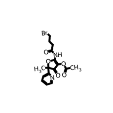 CC(=O)OC1=C(NC(=O)CCCBr)OC(C)(c2ccccn2)C1=O